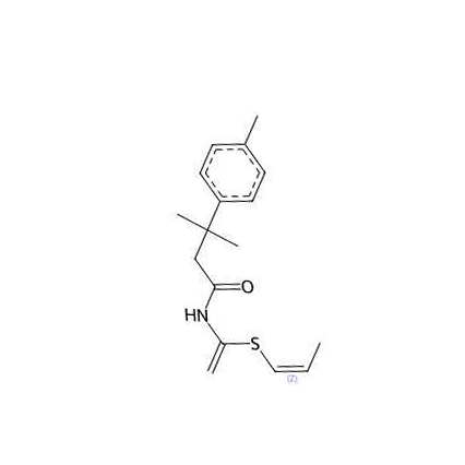 C=C(NC(=O)CC(C)(C)c1ccc(C)cc1)S/C=C\C